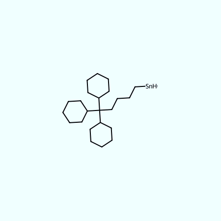 [SnH][CH2]CCCC(C1CCCCC1)(C1CCCCC1)C1CCCCC1